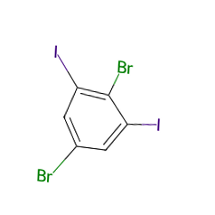 Brc1cc(I)c(Br)c(I)c1